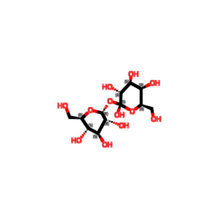 OC[C@H]1O[C@](O)(O[C@H]2O[C@H](CO)[C@@H](O)[C@H](O)[C@H]2O)[C@H](O)[C@@H](O)[C@H]1O